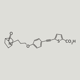 O=C(O)c1ccc(C#Cc2ccc(OCCCN3C(=O)C4CCC3CC4)cc2)s1